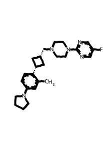 Cc1cc(N2CCCC2)ccc1[C@H]1C[C@@H](CN2CCN(c3ncc(F)cn3)CC2)C1